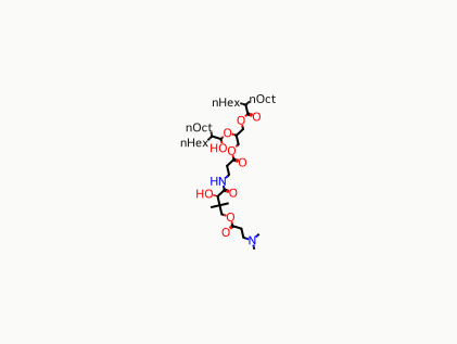 CCCCCCCCC(CCCCCC)C(=O)OCC(COC(=O)CCNC(=O)[C@H](O)C(C)(C)COC(=O)CCN(C)C)OC(O)C(CCCCCC)CCCCCCCC